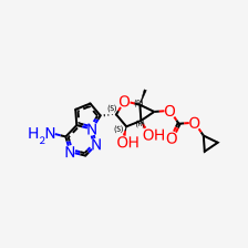 C[C@]12O[C@@H](c3ccc4c(N)ncnn34)[C@H](O)[C@@]1(O)C2OC(=O)OC1CC1